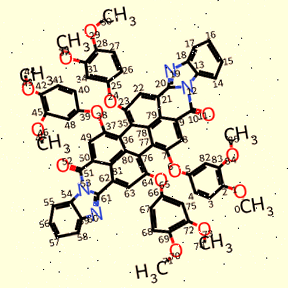 COc1ccc(Oc2cc3c(=O)n4c5ccccc5nc4c4cc(Oc5ccc(OC)c(OC)c5)c5c6c(Oc7ccc(OC)c(OC)c7)cc7c(=O)n8c9ccccc9nc8c8cc(Oc9ccc(OC)c(OC)c9)c(c2c5c34)c6c78)cc1OC